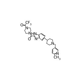 Cc1ccc(CN2CCC(c3ccc4[nH]c(C(=O)N5CCN(C(=O)C(F)(F)F)CC5)nc4c3)CC2)cn1